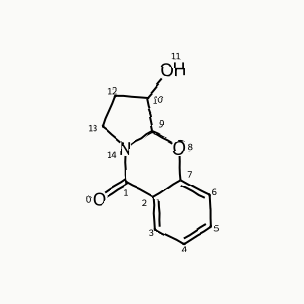 O=C1c2ccccc2OC2C(O)CCN12